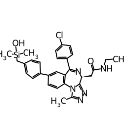 CCNC(=O)C[C@@H]1N=C(c2ccc(Cl)cc2)c2cc(-c3ccc(C[Si](C)(C)O)cc3)ccc2-n2c(C)nnc21